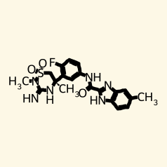 Cc1ccc2[nH]c(C(=O)Nc3ccc(F)c([C@]4(C)CS(=O)(=O)N(C)C(=N)N4)c3)nc2c1